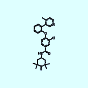 Cc1ccncc1-c1ccccc1Oc1ccc(C(=O)NC2CC(C)(C)NC(C)(C)C2)cc1Cl